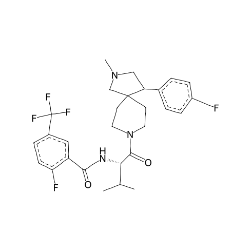 CC(C)[C@H](NC(=O)c1cc(C(F)(F)F)ccc1F)C(=O)N1CCC2(CC1)CN(C)CC2c1ccc(F)cc1